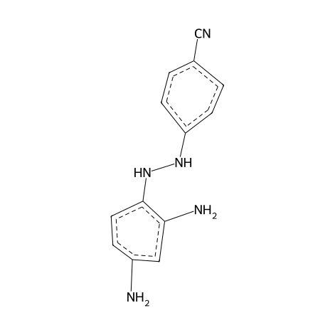 N#Cc1ccc(NNc2ccc(N)cc2N)cc1